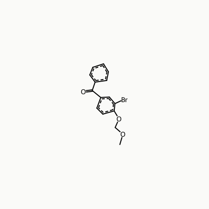 COCOc1ccc(C(=O)c2ccccc2)cc1Br